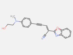 CN(CCO)c1ccc(C#C/C=C(\C#N)c2nc3ccccc3o2)cc1